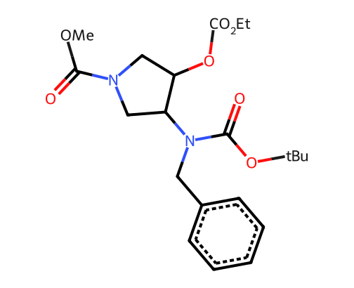 CCOC(=O)OC1CN(C(=O)OC)CC1N(Cc1ccccc1)C(=O)OC(C)(C)C